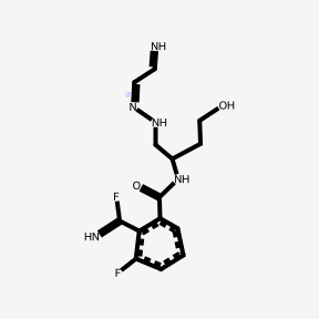 N=C/C=N\NCC(CCO)NC(=O)c1cccc(F)c1C(=N)F